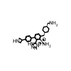 NC[C@H]1CC[C@@H](Cc2ccc(-c3ccc(C4CNC4)cc3)c(-c3nnn[nH]3)c2S(N)(=O)=O)CC1